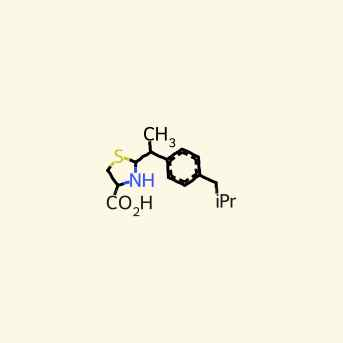 CC(C)Cc1ccc(C(C)C2NC(C(=O)O)CS2)cc1